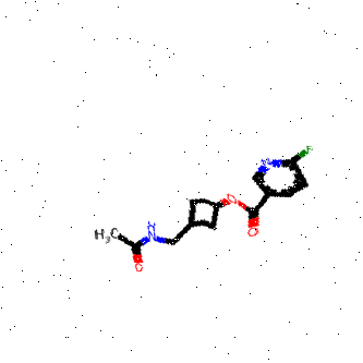 CC(=O)NCC1CC(OC(=O)c2ccc(F)nc2)C1